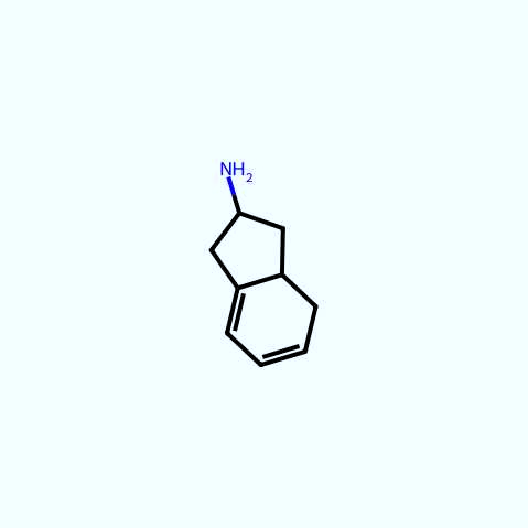 NC1CC2=CC=CCC2C1